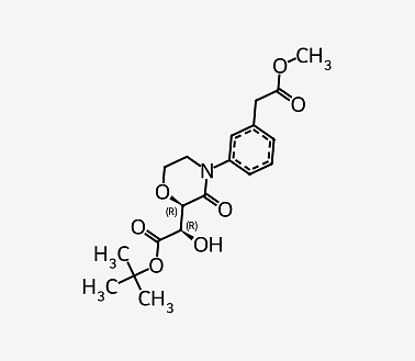 COC(=O)Cc1cccc(N2CCO[C@H]([C@@H](O)C(=O)OC(C)(C)C)C2=O)c1